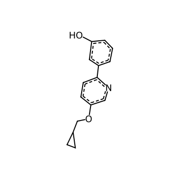 Oc1cccc(-c2ccc(OCC3CC3)cn2)c1